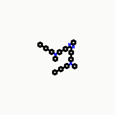 c1ccc(-c2ccc(-c3ccc(N(c4ccccc4)c4ccc(-c5ccc(-c6nc7ccccc7nc6-c6ccc(-c7ccc(N(c8ccccc8)c8ccc(-c9ccc(-c%10ccccc%10)cc9)cc8)cc7)cc6)cc5)cc4)cc3)cc2)cc1